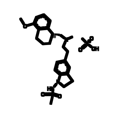 COc1cccc2c1CCC[C@H]2CN(C)CCc1ccc2c(c1)CCN2NS(C)(=O)=O.CS(=O)(=O)O